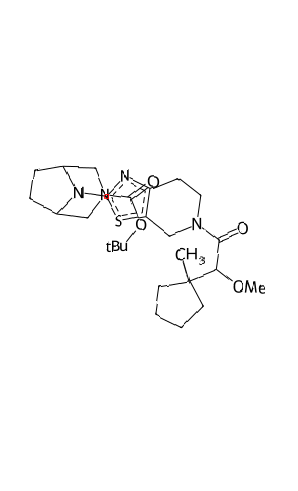 COC(C(=O)N1CCc2nc(N3C4CCC3CN(C(=O)OC(C)(C)C)C4)sc2C1)C1(C)CCCC1